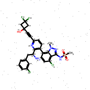 Cn1nc(NS(C)(=O)=O)c2c(Cl)ccc(-c3ccc(C#CC4(O)CC(F)(F)C4)nc3[C@@H](N)Cc3cccc(F)c3)c21